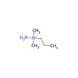 CCC[N+](C)(C)N